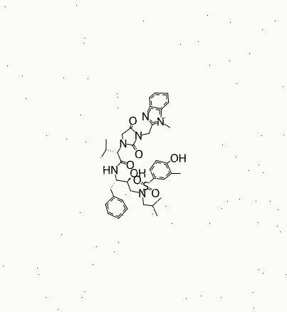 Cc1cc(S(=O)(=O)N(CC(C)C)C[C@H](O)[C@H](Cc2ccccc2)NC(=O)[C@H](C(C)C)N2CC(=O)N(Cc3nc4ccccc4n3C)C2=O)ccc1O